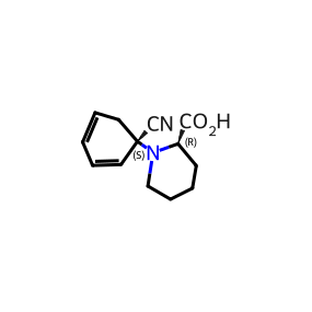 N#C[C@@]1(N2CCCC[C@@H]2C(=O)O)C=CC=CC1